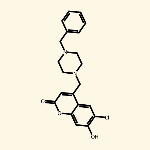 O=c1cc(CN2CCN(Cc3ccccc3)CC2)c2cc(Cl)c(O)cc2o1